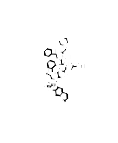 Cc1cc(=O)oc2c(F)c(OS(=O)(=O)C[C@H](CC(C)C)NC(=O)[C@H](Cc3ccccc3)NC(=O)[C@H](CC(C)C)NC(=O)[C@H](CCc3ccccc3)NC(O)CN3CCOCC3)c(F)cc12